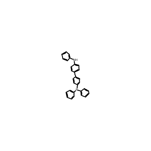 c1ccc(Nc2ccc(-c3ccc(N(c4ccccc4)c4ccccc4)cc3)cc2)cc1